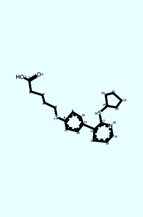 O=C(O)CCCCSc1ccc(-c2cccnc2SC2CCCC2)cc1